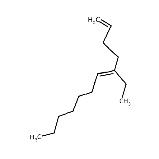 C=CCCC(=CCCCCCC)CC